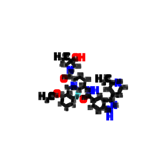 COc1cccc(F)c1CN1C[C@H](NC(=O)c2ccc3[nH]nc(-c4ccnc(C)c4)c3c2)CC[C@H]1C(=O)N1CC(C)(O)C1